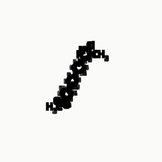 Cc1cc(N2CCC(C3CCN(c4ccc(S(C)(=O)=O)cc4)CC3)CC2)nnc1Cl